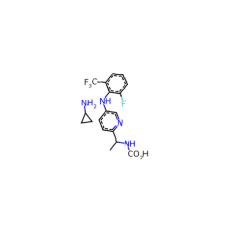 CC(NC(=O)O)c1ccc(Nc2c(F)cccc2C(F)(F)F)cn1.NC1CC1